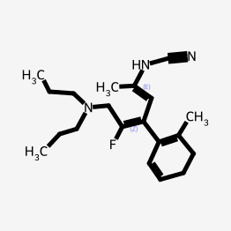 CCCN(CCC)C/C(F)=C(\C=C(/C)NC#N)C1=C(C)CCC=C1